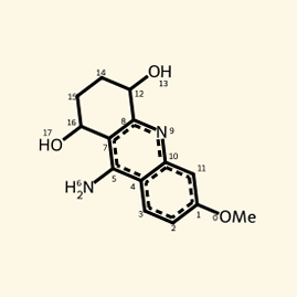 COc1ccc2c(N)c3c(nc2c1)C(O)CCC3O